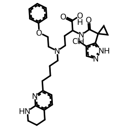 O=C(O)C(CCN(CCCCc1ccc2c(n1)NCCC2)CCOc1ccccc1)NC(=O)C1(c2[nH]ncc2Cl)CC1